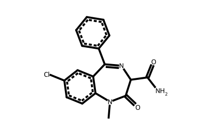 CN1C(=O)C(C(N)=O)N=C(c2ccccc2)c2cc(Cl)ccc21